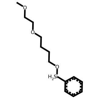 COCCOCCCCO[SiH2]c1ccccc1